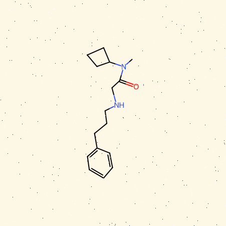 CN(C(=O)CNCCCc1ccccc1)C1CCC1